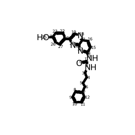 O=C(NCCCCc1ccccc1)Nc1ccc2ncc(-c3ccc(O)cc3)nc2n1